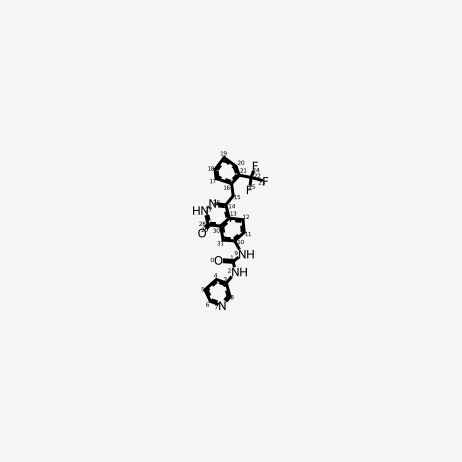 O=C(Nc1cccnc1)Nc1ccc2c(Cc3ccccc3C(F)(F)F)n[nH]c(=O)c2c1